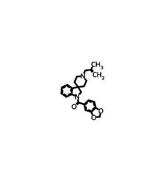 C=C(C)CN1CCC2(CC1)CN(C(=O)c1ccc3c(c1)OCO3)c1ccccc12